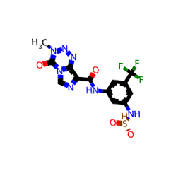 Cn1nnc2c(C(=O)Nc3cc(N[SH](=O)=O)cc(C(F)(F)F)c3)ncn2c1=O